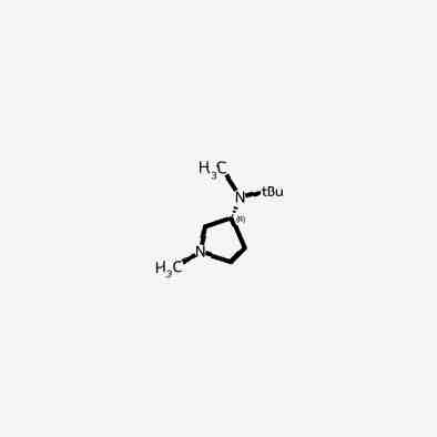 CN1CC[C@@H](N(C)C(C)(C)C)C1